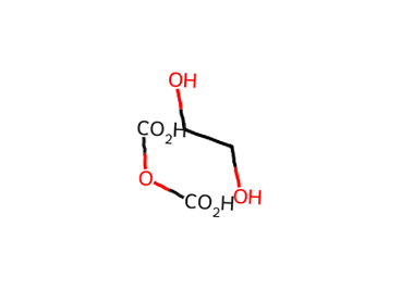 O=C(O)OC(=O)O.OCCO